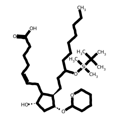 CCCCCCCC(CC[C@@H]1C(C/C=C\CCCC(=O)O)[C@@H](O)C[C@H]1OC1CCCCO1)O[Si](C)(C)C(C)(C)C